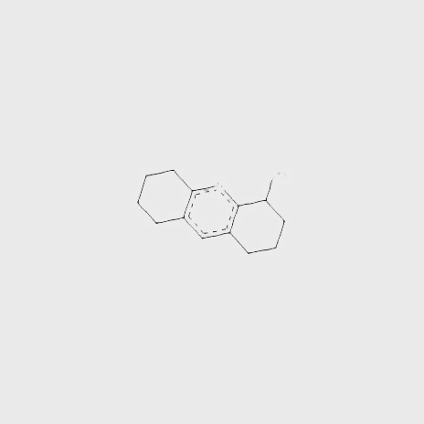 OC1CCCc2cc3c(nc21)CCCC3